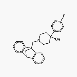 OC1(c2ccc(F)cc2)CCN(CC23CC(c4ccccc42)c2ccccc23)CC1